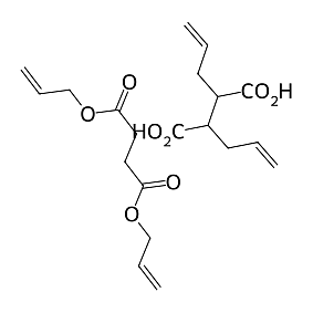 C=CCC(C(=O)O)C(CC=C)C(=O)O.C=CCOC(=O)CCC(=O)OCC=C